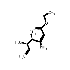 C=C[C@@H](C)[C@@H](C)/C(N)=C\C(=O)OCC